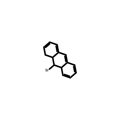 BrC1C2C=CC=CC2=CC2=CC=CCC21